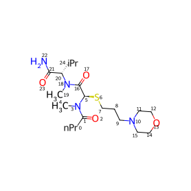 CCCC(=O)N(C)[C@H](SCCCN1CCOCC1)C(=O)N(C)[C@H](C(N)=O)C(C)C